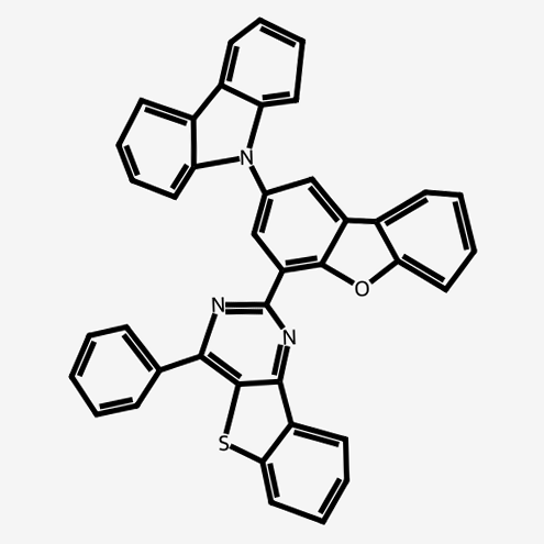 c1ccc(-c2nc(-c3cc(-n4c5ccccc5c5ccccc54)cc4c3oc3ccccc34)nc3c2sc2ccccc23)cc1